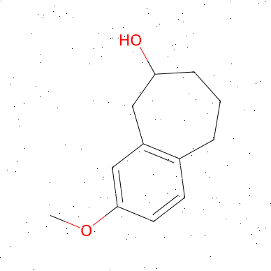 COc1ccc2c(c1)CC(O)CCC2